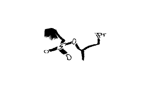 C=CS(=O)(=O)OC(C)CC(C)C